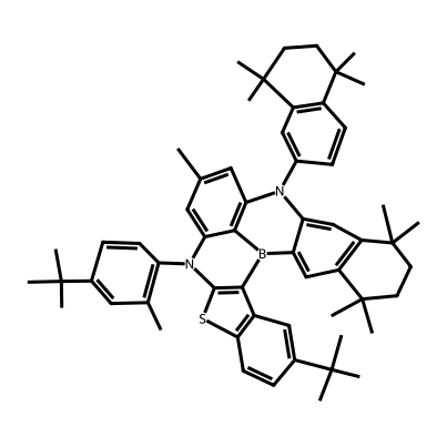 Cc1cc2c3c(c1)N(c1ccc(C(C)(C)C)cc1C)c1sc4ccc(C(C)(C)C)cc4c1B3c1cc3c(cc1N2c1ccc2c(c1)C(C)(C)CCC2(C)C)C(C)(C)CCC3(C)C